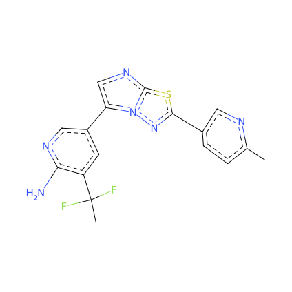 Cc1ccc(-c2nn3c(-c4cnc(N)c(C(C)(F)F)c4)cnc3s2)cn1